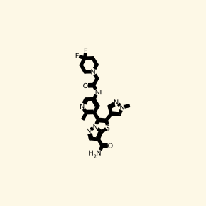 Cc1ncc(NC(=O)CN2CCC(F)(F)CC2)cc1-c1c(-c2cnn(C)c2)sc2c(C(N)=O)cnn12